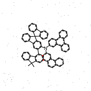 CC1(C)c2ccccc2-c2c(-c3cc4c(cc3N(c3ccc5ccc6ccccc6c5c3)c3ccc5c6ccccc6c6ccccc6c5c3)C3(c5ccccc5-c5ccccc53)c3ccccc3-4)cccc21